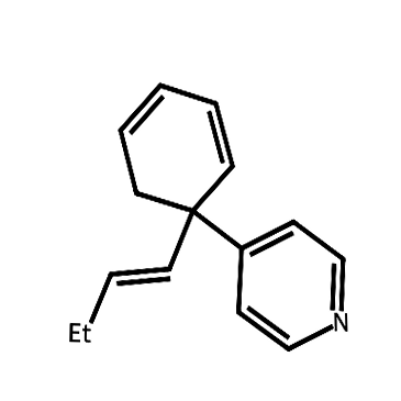 CCC=CC1(c2ccncc2)C=CC=CC1